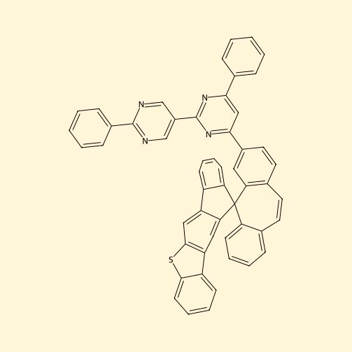 C1=Cc2ccc(-c3cc(-c4ccccc4)nc(-c4cnc(-c5ccccc5)nc4)n3)cc2C2(c3ccccc31)c1ccccc1-c1cc3sc4ccccc4c3cc12